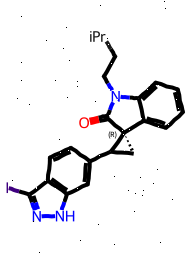 CC(C)CCN1C(=O)[C@@]2(CC2c2ccc3c(I)n[nH]c3c2)c2ccccc21